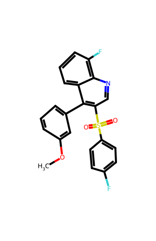 COc1cccc(-c2c(S(=O)(=O)c3ccc(F)cc3)cnc3c(F)cccc23)c1